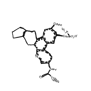 COc1cc2c3c(c4ncc(NC(=O)OCC(C)C)cc4c2cc1OC)CC1CCCC1C3.CS(=O)(=O)O